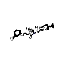 N=C/C(=C\NCc1cn2cc(C3CC3)ccc2n1)C(=O)NCCOc1cccc(Cl)c1